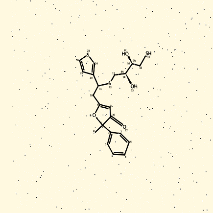 CC1(c2ccccc2)OC(CC(SC[C@H](O)[C@@H](O)CS)c2ccsc2)=CC1=O